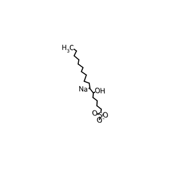 CCCCCCCCCCCC(O)CCCCS(=O)(=O)[O-].[Na+]